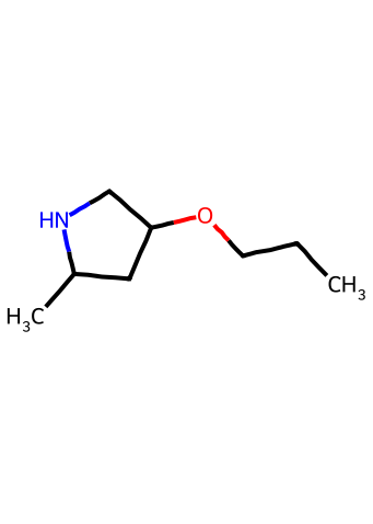 CCCOC1CNC(C)C1